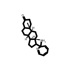 C[C@]12CCC(=O)CC1CC[C@@H]1[C@@H]2CC[C@]2(C)C(C3(N)C=CC=CC=N3)CC[C@@H]12